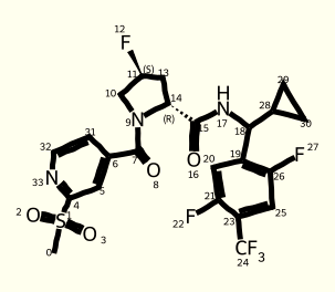 CS(=O)(=O)c1cc(C(=O)N2C[C@@H](F)C[C@@H]2C(=O)NC(c2cc(F)c(C(F)(F)F)cc2F)C2CC2)ccn1